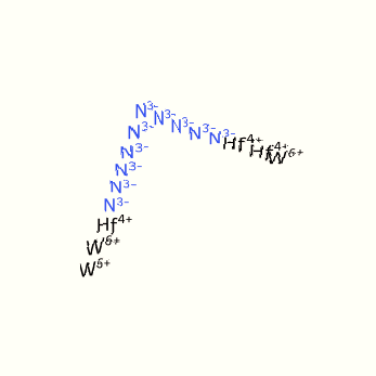 [Hf+4].[Hf+4].[Hf+4].[N-3].[N-3].[N-3].[N-3].[N-3].[N-3].[N-3].[N-3].[N-3].[N-3].[W+6].[W+6].[W+6]